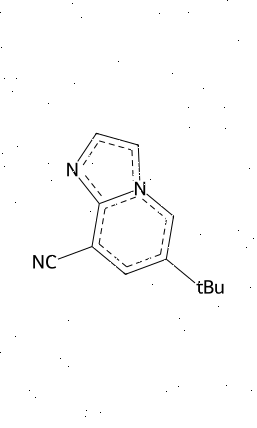 CC(C)(C)c1cc(C#N)c2nccn2c1